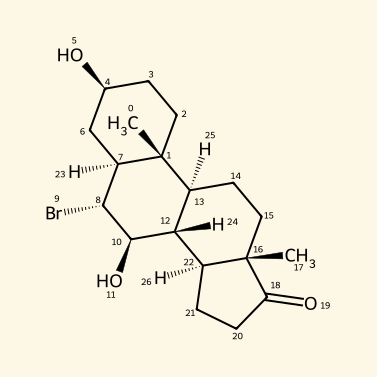 C[C@]12CC[C@H](O)C[C@@H]1[C@@H](Br)[C@H](O)[C@@H]1[C@@H]2CC[C@]2(C)C(=O)CC[C@@H]12